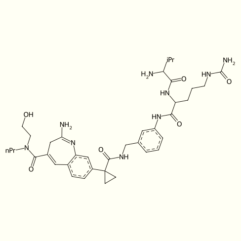 CCCN(CCO)C(=O)C1=Cc2ccc(C3(C(=O)NCc4cccc(NC(=O)C(CCCNC(N)=O)NC(=O)C(N)C(C)C)c4)CC3)cc2N=C(N)C1